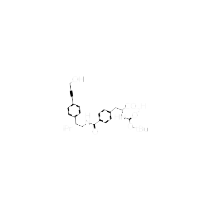 CC(C)[C@@H](CNC(=O)c1ccc(CC(NC(=O)OC(C)(C)C)C(=O)O)cc1)c1ccc(C#CCO)cc1